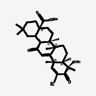 COC(=O)[C@]12CCC(C)(C)CC1C1C(=O)C=C3[C@@]4(C)C=C(C#N)C(=O)[C@@](C)(NC(C)=O)[C@@H]4CC[C@@]3(C)[C@]1(C)CC2